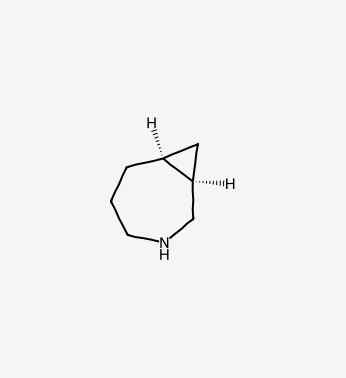 C1CNC[C@@H]2C[C@@H]2C1